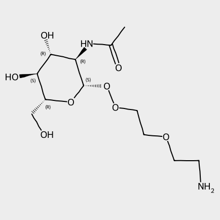 CC(=O)N[C@H]1[C@H](OOCCOCCN)O[C@H](CO)[C@@H](O)[C@@H]1O